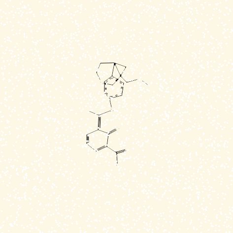 COCC12CNCCC1(c1ccc(N/C(Cl)=C3/C=CC=C(C(N)=O)C3=N)cc1)C2